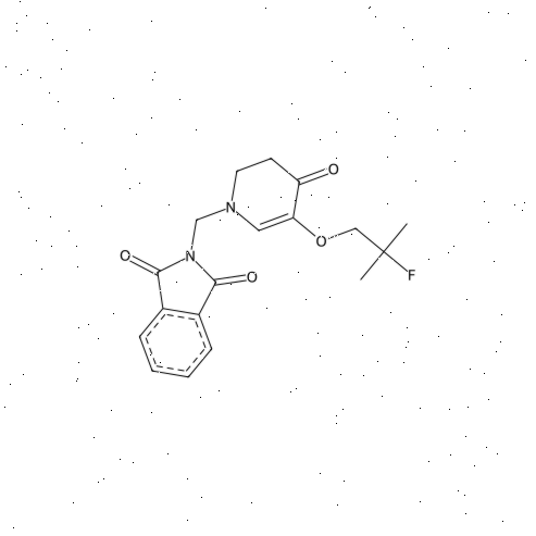 CC(C)(F)COC1=CN(CN2C(=O)c3ccccc3C2=O)CCC1=O